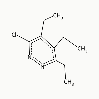 CCc1nnc(Cl)c(CC)c1CC